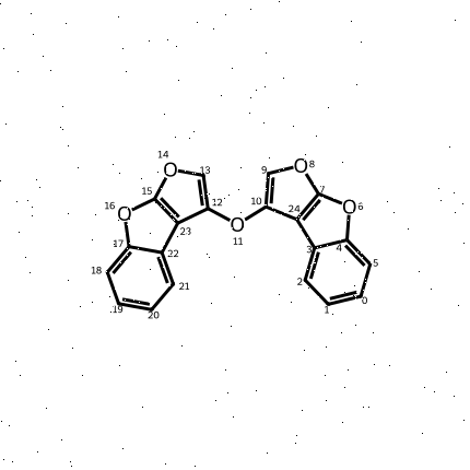 c1ccc2c(c1)oc1occ(Oc3coc4oc5ccccc5c34)c12